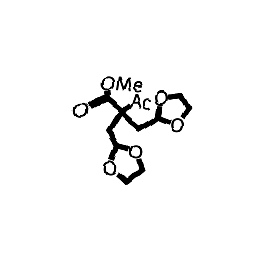 COC(=O)C(CC1OCCO1)(CC1OCCO1)C(C)=O